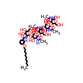 CCCCCCCCCCCOc1cccc(C(=O)N[C@@H]2C(O[C@H]3C(O)C(NC(C)=O)[C@H](OC4C(CO)O[C@@H](O[C@H]5C(O)C(NC(C)=O)C(OC6C(CO)OC(O)[C@@H](NC(C)=O)[C@@H]6O)O[C@H]5CO)[C@@H](NC(C)=O)[C@@H]4O)O[C@H]3CO)OC(CO)[C@@H](O)[C@@H]2O)c1